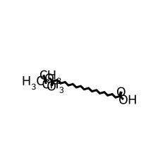 CC(C)(C)OC(=O)CCCCCCCCCCCCCCCCC(=O)O